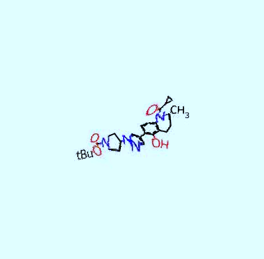 CC1CCc2c(ccc(-c3cnn(C4CCN(C(=O)OC(C)(C)C)CC4)c3)c2O)N1C(=O)C1CC1